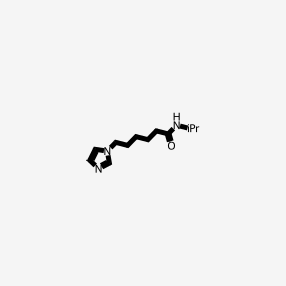 CC(C)NC(=O)CCCCCn1c[c]nc1